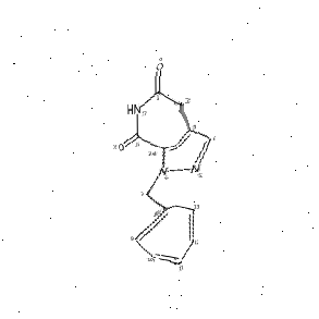 O=C1Cc2cnn(Cc3ccccc3)c2C(=O)N1